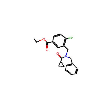 CCOC(=O)c1ccc(Br)c(CN(Cc2ccccc2)C(=O)C2CC2)c1